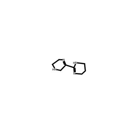 C1CN=C(C2=NCCNC2)NC1